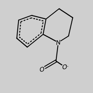 [O]C(=O)N1CCCc2ccccc21